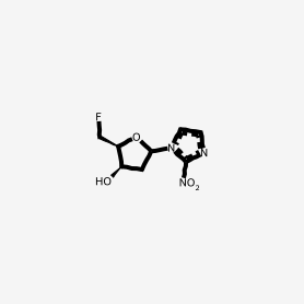 O=[N+]([O-])c1nccn1C1C[C@@H](O)[C@@H](CF)O1